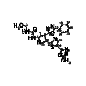 CCNC(=O)Nc1cc(-c2nnc(-c3ccccc3)o2)c(-c2ncc(-c3nnc(C)o3)s2)cn1